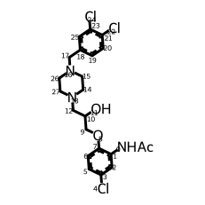 CC(=O)Nc1cc(Cl)ccc1OCC(O)CN1CCN(Cc2ccc(Cl)c(Cl)c2)CC1